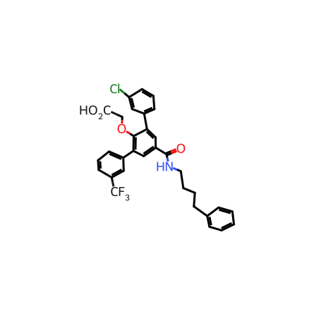 O=C(O)COc1c(-c2cccc(Cl)c2)cc(C(=O)NCCCCc2ccccc2)cc1-c1cccc(C(F)(F)F)c1